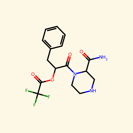 NC(=O)C1CNCCN1C(=O)C(Cc1ccccc1)OC(=O)C(F)(F)F